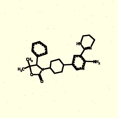 CC1(C)OC(=O)N(C2CCC(c3cnc(N)c(C4=NCCCN4)c3)CC2)C1c1ccccc1